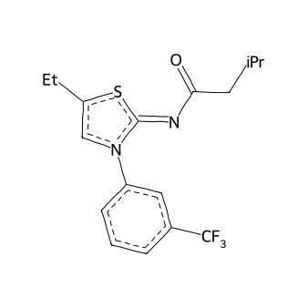 CCc1cn(-c2cccc(C(F)(F)F)c2)c(=NC(=O)CC(C)C)s1